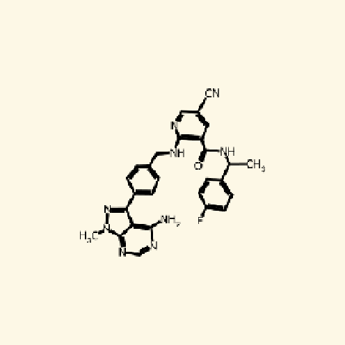 CC(NC(=O)c1cc(C#N)cnc1NCc1ccc(-c2nn(C)c3ncnc(N)c23)cc1)c1ccc(F)cc1